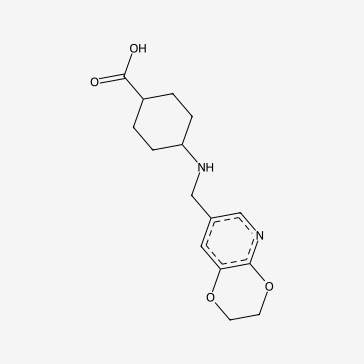 O=C(O)C1CCC(NCc2cnc3c(c2)OCCO3)CC1